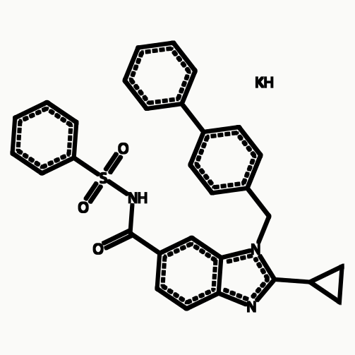 O=C(NS(=O)(=O)c1ccccc1)c1ccc2nc(C3CC3)n(Cc3ccc(-c4ccccc4)cc3)c2c1.[KH]